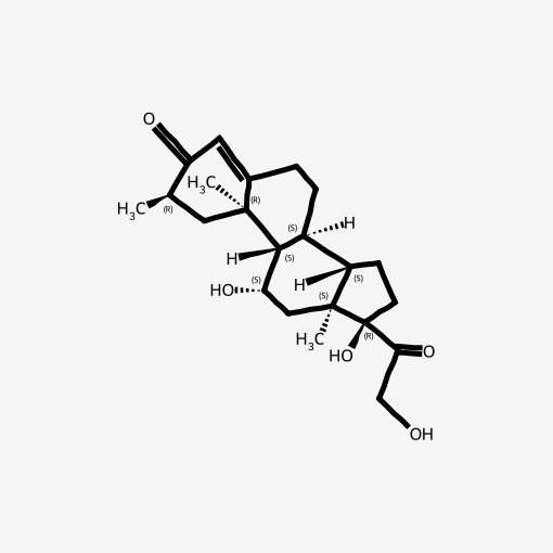 C[C@@H]1C[C@@]2(C)C(=CC1=O)CC[C@@H]1[C@@H]2[C@@H](O)C[C@@]2(C)[C@H]1CC[C@]2(O)C(=O)CO